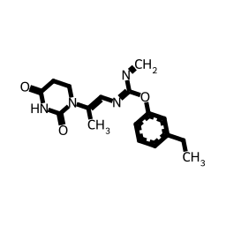 C=N/C(=N\C=C(/C)N1CCC(=O)NC1=O)Oc1cccc(CC)c1